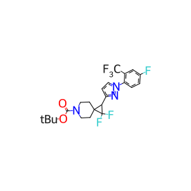 CC(C)(C)OC(=O)N1CCC2(CC1)C(c1ccn(-c3ccc(F)cc3C(F)(F)F)n1)C2(F)F